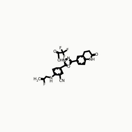 C=C(F)CNc1ccc(-c2nnc(-c3ccc4c(c3)CCC(=O)N4)o2)cc1C#N.O=C(O)C(F)(F)F